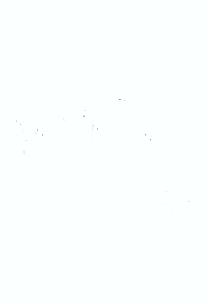 CN(CCCNC(=O)C1=Cc2cnc3cccc(n23)S1)CCCc1ccccc1.Cl.Cl